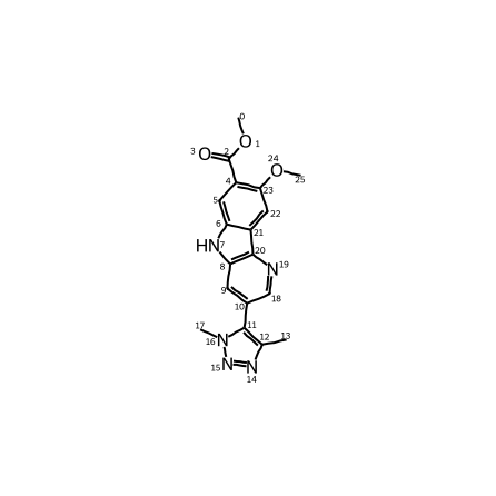 COC(=O)c1cc2[nH]c3cc(-c4c(C)nnn4C)cnc3c2cc1OC